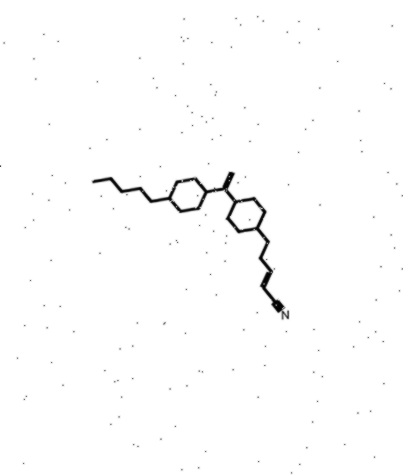 C=C(C1CCC(CCC=CC#N)CC1)C1CCC(CCCCC)CC1